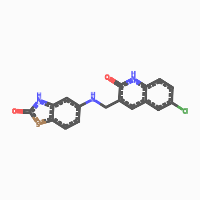 O=c1[nH]c2cc(NCc3cc4cc(Cl)ccc4[nH]c3=O)ccc2s1